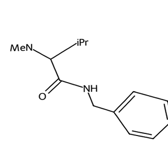 CNC(C(=O)NCc1ccccc1)C(C)C